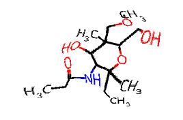 CCC(=O)NC1C(O)C(C)(COC)C(CO)OC1(C)CC